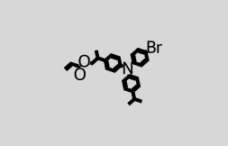 C=CC(=O)OCC(C)c1ccc(N(c2ccc(Br)cc2)c2ccc(C(C)C)cc2)cc1